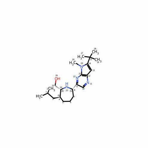 CC(C)C[C@@H]1CCC[C@@H](c2cnc3cc(C(C)(C)C)n(C)c3n2)N[C@H]1CO